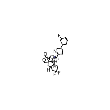 CN1C(=O)OCC12C[C@@H]1CC(F)(F)CC[C@H]1[C@@H]2/C=C/c1ccc(-c2cccc(F)c2)cn1